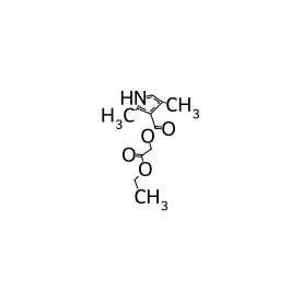 CCOC(=O)COC(=O)c1c(C)c[nH]c1C